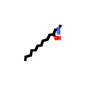 CCCCCCCCCCC(O)CNC